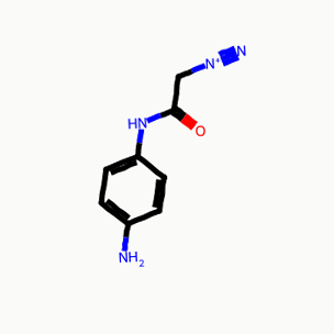 N#[N+]CC(=O)Nc1ccc(N)cc1